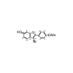 COc1ccc(-c2sc3cc(O)ccc3c2Br)cc1